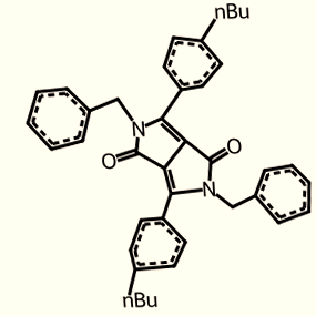 CCCCc1ccc(C2=C3C(=O)N(Cc4ccccc4)C(c4ccc(CCCC)cc4)=C3C(=O)N2Cc2ccccc2)cc1